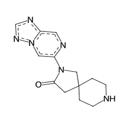 O=C1CC2(CCNCC2)CN1c1cn2ncnc2cn1